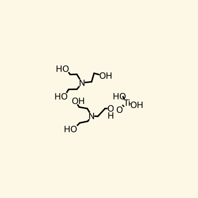 OCCN(CCO)CCO.OCCN(CCO)CCO.[O]=[Ti]([OH])[OH]